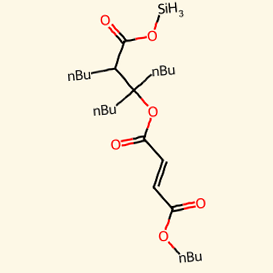 CCCCOC(=O)/C=C/C(=O)OC(CCCC)(CCCC)C(CCCC)C(=O)O[SiH3]